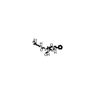 CCOC(C)(C)CCCNC(=O)CSc1nc2c(=O)n3cc(-c4ccccc4)[nH]c3nc2n1CCO